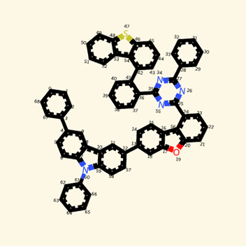 c1ccc(-c2ccc3c(c2)c2cc(-c4ccc5c(c4)oc4cccc(-c6nc(-c7ccccc7)nc(-c7ccccc7-c7cccc8sc9ccccc9c78)n6)c45)ccc2n3-c2ccccc2)cc1